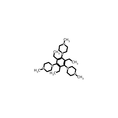 CCc1c(N2CCN(C)CC2)c(CC)c(N2CCN(C)CC2)c(CC)c1N1CCN(C)CC1